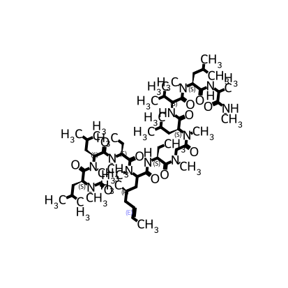 C/C=C/C[C@@H](C)CC(C(=O)N[C@@H](CC)C(=O)N(C)CC(=O)N(C)[C@@H](CC(C)C)C(=O)N[C@H](C(=O)N(C)[C@@H](CC(C)C)C(=O)NC(C)C(=O)NC)C(C)C)N(C)C(=O)[C@H](CC)N(C)C(=O)[C@H](CC(C)C)N(C)C(=O)[C@H](CC(C)C)N(C)C=O